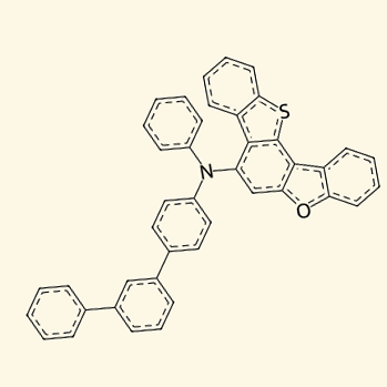 c1ccc(-c2cccc(-c3ccc(N(c4ccccc4)c4cc5oc6ccccc6c5c5sc6ccccc6c45)cc3)c2)cc1